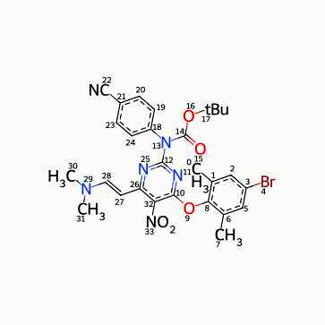 Cc1cc(Br)cc(C)c1Oc1nc(N(C(=O)OC(C)(C)C)c2ccc(C#N)cc2)nc(/C=C/N(C)C)c1[N+](=O)[O-]